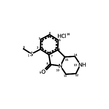 CSc1cccc2c1C(=O)N1CCNCC21.Cl